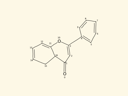 O=C1C=C(c2ccccc2)OC2=CC=CCC12